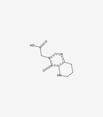 O=C(O)Cn1cnc2c(c1=O)NCCC2